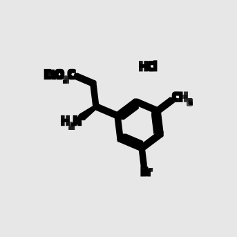 CCOC(=O)C[C@H](N)c1cc(C)cc(Br)c1.Cl